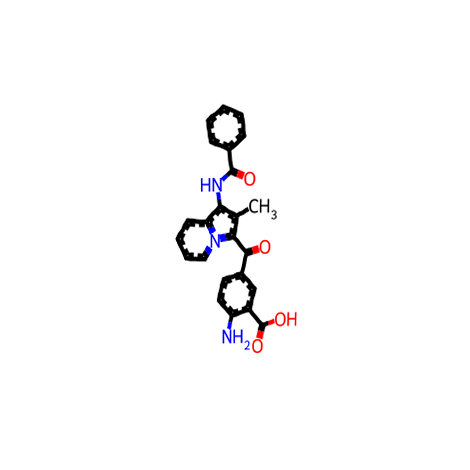 Cc1c(NC(=O)c2ccccc2)c2ccccn2c1C(=O)c1ccc(N)c(C(=O)O)c1